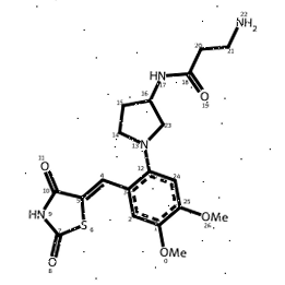 COc1cc(/C=C2\SC(=O)NC2=O)c(N2CCC(NC(=O)CCN)C2)cc1OC